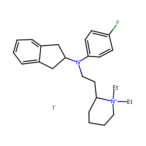 CC[N+]1(CC)CCCCC1CCN(c1ccc(F)cc1)C1Cc2ccccc2C1.[I-]